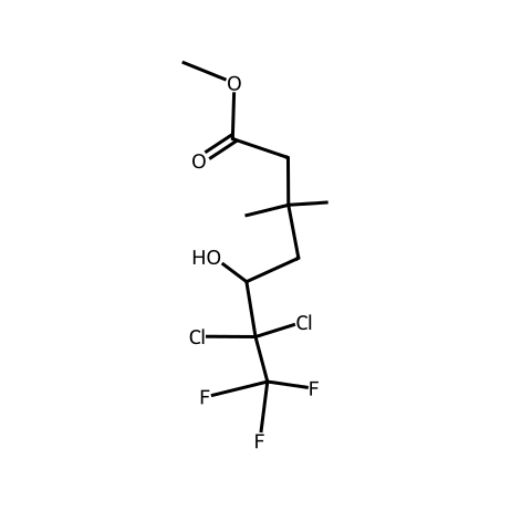 COC(=O)CC(C)(C)CC(O)C(Cl)(Cl)C(F)(F)F